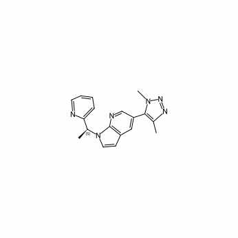 Cc1nnn(C)c1-c1cnc2c(ccn2[C@@H](C)c2ccccn2)c1